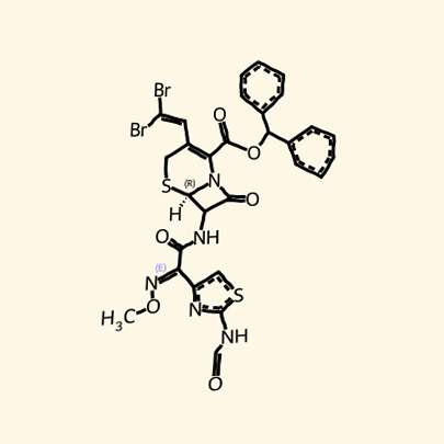 CO/N=C(/C(=O)NC1C(=O)N2C(C(=O)OC(c3ccccc3)c3ccccc3)=C(C=C(Br)Br)CS[C@H]12)c1csc(NC=O)n1